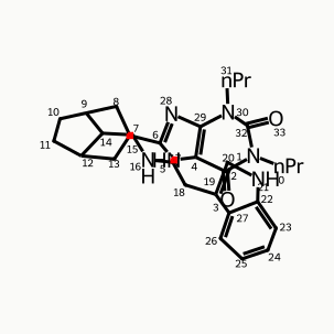 CCCn1c(=O)c2[nH]c(C3CC4CCC(C3)C4CNCCc3c[nH]c4ccccc34)nc2n(CCC)c1=O